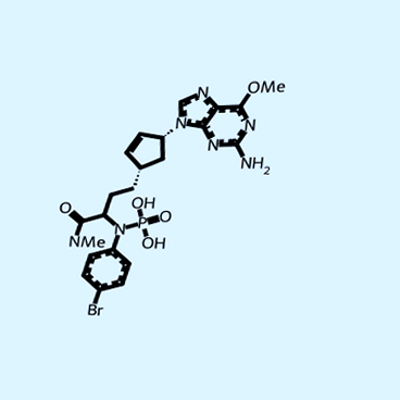 CNC(=O)C(CC[C@@H]1C=C[C@H](n2cnc3c(OC)nc(N)nc32)C1)N(c1ccc(Br)cc1)P(=O)(O)O